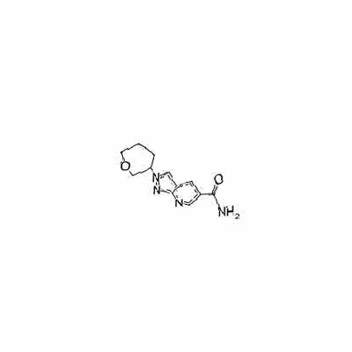 NC(=O)c1cnc2nn(C3CCCOC3)cc2c1